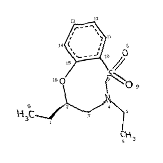 CC[C@@H]1CN(CC)S(=O)(=O)c2ccccc2O1